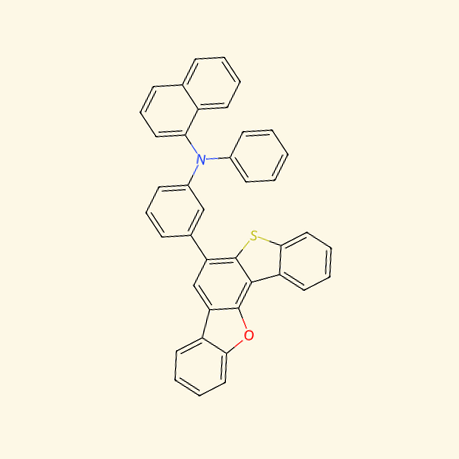 c1ccc(N(c2cccc(-c3cc4c5ccccc5oc4c4c3sc3ccccc34)c2)c2cccc3ccccc23)cc1